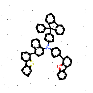 c1ccc(C2(c3ccc(N(c4ccc(-c5cccc6c5oc5ccccc56)cc4)c4ccc(-c5cccc6c5sc5ccccc56)c5ccccc45)cc3)c3ccccc3-c3ccccc32)cc1